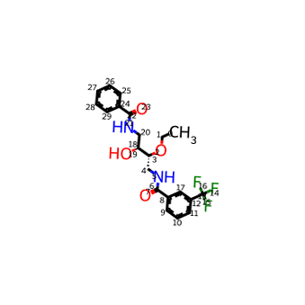 CCO[C@H](CNC(=O)c1cccc(C(F)(F)F)c1)[C@@H](O)CNC(=O)c1ccccc1